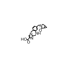 O=C(O)c1cn2c(n1)CNc1cc(CN3CC4CC4C3=O)ccc1C2